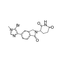 Cn1cnc(-c2ccc3c(c2)CN(C2CCC(=O)NC2=O)C3=O)c1Br